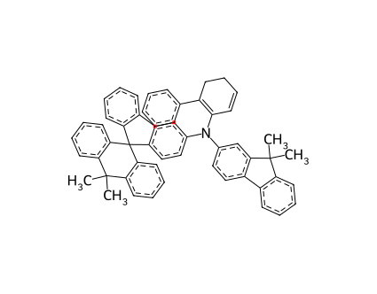 CC1(C)c2ccccc2-c2ccc(N(C3=C(c4ccccc4)CCC=C3)c3ccc4c(c3)-c3ccccc3C43c4ccccc4C(C)(C)c4ccccc43)cc21